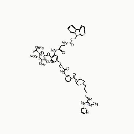 COC(=O)[C@H]1O[C@@H](Oc2ccc(COC(=O)Nc3cccc(C(=O)N4CCC(CCCCN/C(=N\C#N)Nc5cccnc5)CC4)c3)cc2NC(=O)CCNC(=O)OCC2c3ccccc3-c3ccccc32)[C@H](OC(C)=O)[C@@H](OC(C)=O)[C@@H]1OC(C)=O